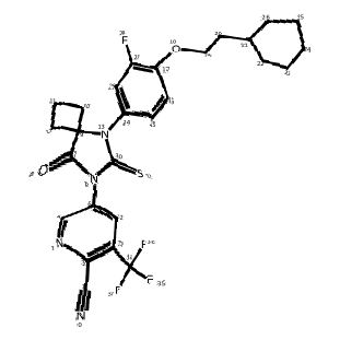 N#Cc1ncc(N2C(=O)C3(CCC3)N(c3ccc(OCCC4CCCCC4)c(F)c3)C2=S)cc1C(F)(F)F